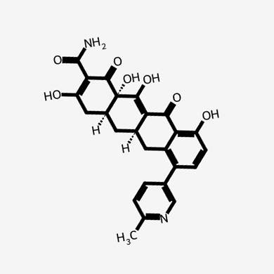 Cc1ccc(-c2ccc(O)c3c2C[C@H]2C[C@H]4CC(O)=C(C(N)=O)C(=O)[C@@]4(O)C(O)=C2C3=O)cn1